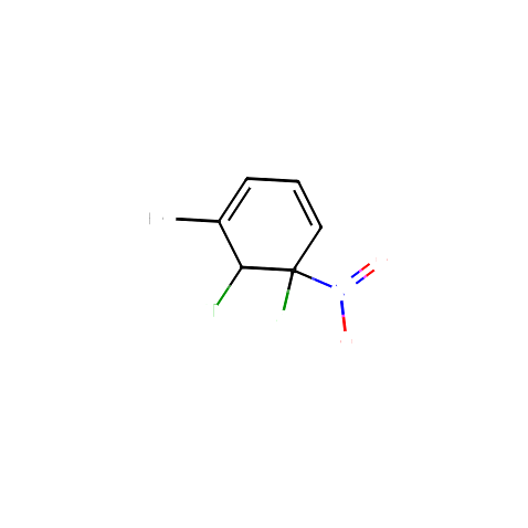 CC1=CC=CC(Cl)([N+](=O)[O-])C1Cl